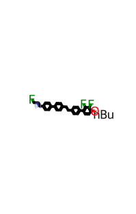 CCCCOc1ccc(-c2ccc(CCc3ccc(-c4ccc(/C=C/CF)cc4)cc3)cc2)c(F)c1F